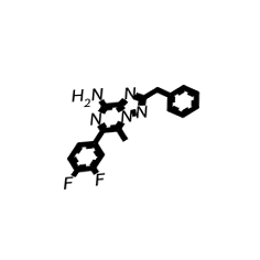 Cc1c(-c2ccc(F)c(F)c2)nc(N)c2nc(Cc3ccccc3)nn12